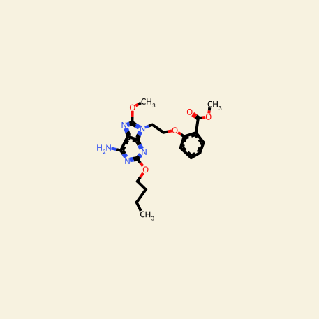 CCCCOc1nc(N)c2nc(OC)n(CCOc3ccccc3C(=O)OC)c2n1